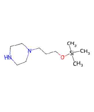 C[Si](C)(C)OCCCN1CCNCC1